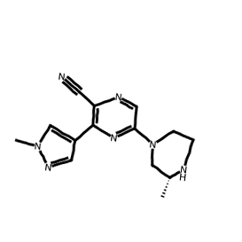 C[C@@H]1CN(c2cnc(C#N)c(-c3cnn(C)c3)n2)CCN1